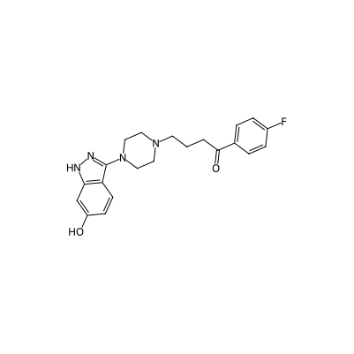 O=C(CCCN1CCN(c2n[nH]c3cc(O)ccc23)CC1)c1ccc(F)cc1